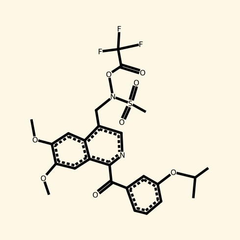 COc1cc2c(CN(OC(=O)C(F)(F)F)S(C)(=O)=O)cnc(C(=O)c3cccc(OC(C)C)c3)c2cc1OC